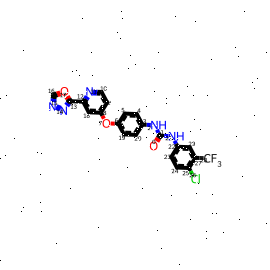 O=C(Nc1ccc(Oc2ccnc(-c3nnco3)c2)cc1)Nc1ccc(Cl)c(C(F)(F)F)c1